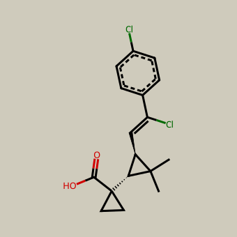 CC1(C)[C@H](C=C(Cl)c2ccc(Cl)cc2)[C@H]1C1(C(=O)O)CC1